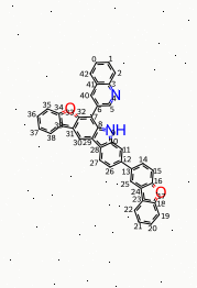 c1ccc2ncc(-c3c4[nH]c5cc(-c6ccc7oc8ccccc8c7c6)ccc5c4cc4c3oc3ccccc34)cc2c1